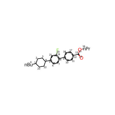 CCCCC1CCC(c2ccc(-c3ccc(C(=O)OCCC)cc3)c(F)c2)CC1